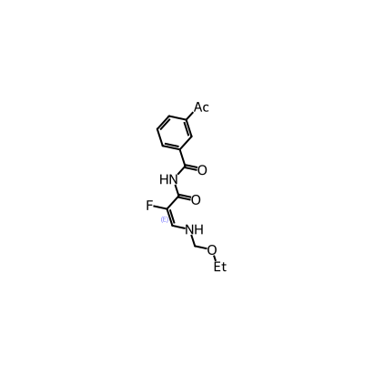 CCOCN/C=C(/F)C(=O)NC(=O)c1cccc(C(C)=O)c1